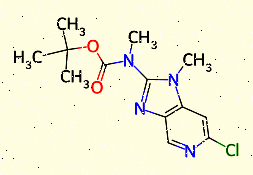 CN(C(=O)OC(C)(C)C)c1nc2cnc(Cl)cc2n1C